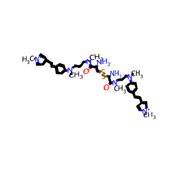 CN(CCCN(C)c1ccc(/C=C/c2cc[n+](C)cc2)cc1)C(=O)C(N)CSSC(N)C(=O)N(C)CCCN(C)c1ccc(/C=C/c2cc[n+](C)cc2)cc1